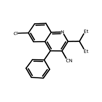 CCC(CC)c1nc2ccc(Cl)cc2c(-c2ccccc2)c1C#N